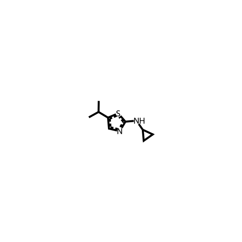 CC(C)c1cnc(NC2CC2)s1